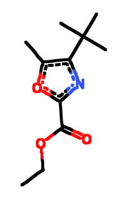 CCOC(=O)c1nc(C(C)(C)C)c(C)o1